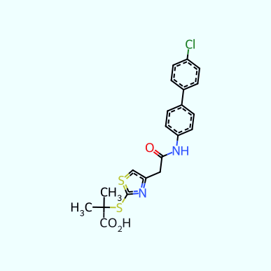 CC(C)(Sc1nc(CC(=O)Nc2ccc(-c3ccc(Cl)cc3)cc2)cs1)C(=O)O